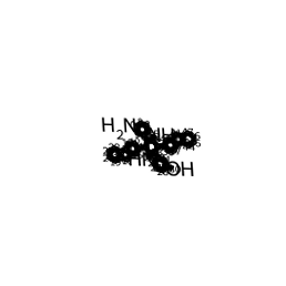 Nc1ccc2[nH]c3c(c2c1)C(c1ccc2c(c1)Cc1ccccc1-2)c1[nH]c2ccc(O)cc2c1C3c1ccc2c(c1)CC1=C2C=CCC1